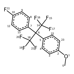 COc1ccc(C(c2ccc(F)cc2)(C(F)(F)F)C(F)(F)F)cc1